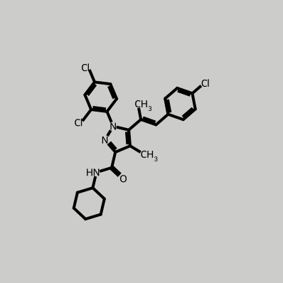 C/C(=C\c1ccc(Cl)cc1)c1c(C)c(C(=O)NC2CCCCC2)nn1-c1ccc(Cl)cc1Cl